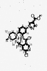 COC(=O)c1cn(-c2ccc(N3C[C@@H](C)N(C)[C@@H](C)C3)c(NC(=O)c3cnc(Cl)cc3C(F)(F)F)c2)nn1